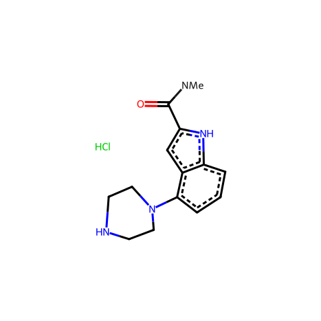 CNC(=O)c1cc2c(N3CCNCC3)cccc2[nH]1.Cl